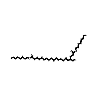 CCCCCCCCOC(=O)CCCCCCCCCCCCCCCC(CC)CCC(=O)OCCCCCCCC